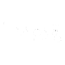 O=C(O)Cn1nc(C(=O)Nc2ccc(CNC(=O)CNCCCF)c(F)c2Cl)c2ccccc21